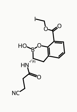 N#CCCC(=O)N[C@H]1Cc2cccc(C(=O)OCI)c2OB1O